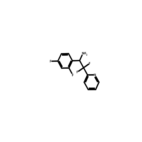 NC(c1ccc(F)cc1F)C(F)(F)c1ccccn1